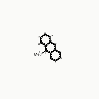 [CH2]Oc1c2ccccc2cc2ccccc12